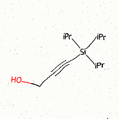 CC(C)[Si](C#CCO)(C(C)C)C(C)C